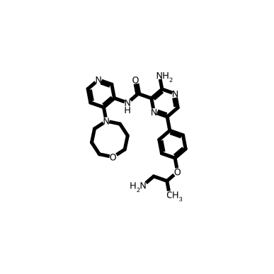 CC(CN)Oc1ccc(-c2cnc(N)c(C(=O)Nc3cnccc3N3CCCOCCC3)n2)cc1